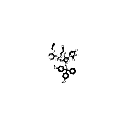 C#CCO[C@@H]1CSSCC1OP(=O)(OCCC#N)O[C@H]1[C@@H](OC)[C@H](n2ccc(=O)[nH]c2=O)O[C@@H]1COC(c1ccccc1)(c1ccc(OC)cc1)c1ccc(OC)cc1